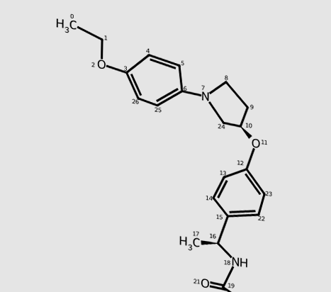 CCOc1ccc(N2CC[C@@H](Oc3ccc([C@H](C)NC(C)=O)cc3)C2)cc1